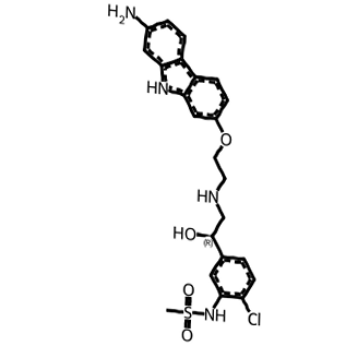 CS(=O)(=O)Nc1cc([C@@H](O)CNCCOc2ccc3c(c2)[nH]c2cc(N)ccc23)ccc1Cl